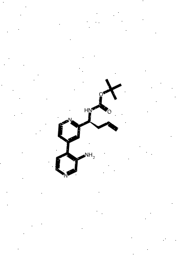 C=CC[C@H](NC(=O)OC(C)(C)C)c1cc(-c2ccncc2N)ccn1